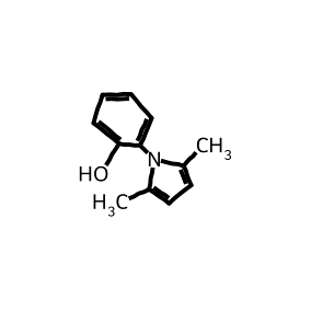 Cc1ccc(C)n1-c1ccccc1O